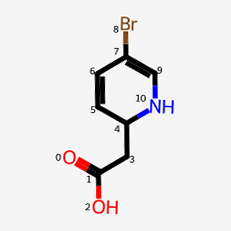 O=C(O)CC1C=CC(Br)=CN1